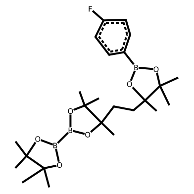 CC1(C)OB(B2OC(C)(C)C(C)(CCC3(C)OB(c4ccc(F)cc4)OC3(C)C)O2)OC1(C)C